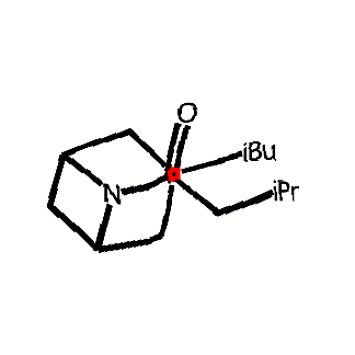 CCC(C)N1CC2CC(C1)N2C(=O)CC(C)C